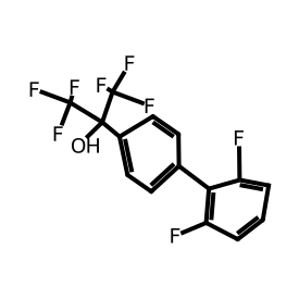 OC(c1ccc(-c2c(F)cccc2F)cc1)(C(F)(F)F)C(F)(F)F